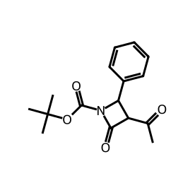 CC(=O)C1C(=O)N(C(=O)OC(C)(C)C)C1c1ccccc1